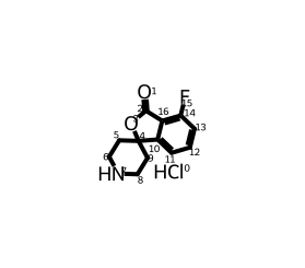 Cl.O=C1OC2(CCNCC2)c2cccc(F)c21